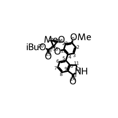 COc1ccc(-c2cccc3c2CNC3=O)c(OC2(C(=O)OCC(C)C)CC2)c1OC